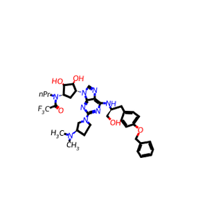 CCCN(C(=O)C(F)(F)F)[C@H]1C[C@@H](n2cnc3c(N[C@H](CO)Cc4ccc(OCc5ccccc5)cc4)nc(N4CC[C@@H](N(C)C)C4)nc32)[C@H](O)[C@@H]1O